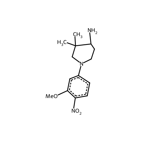 COc1cc(N2CCC(N)C(C)(C)C2)ccc1[N+](=O)[O-]